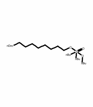 CCCCCCCCCCCCCCCCCC[O][Ti](=[O])([CH2]CCC)([CH2]CCC)[O]CCCC